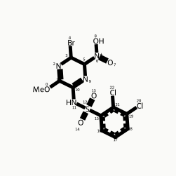 COC1=NC(Br)C([N+](=O)O)N=C1NS(=O)(=O)c1cccc(Cl)c1Cl